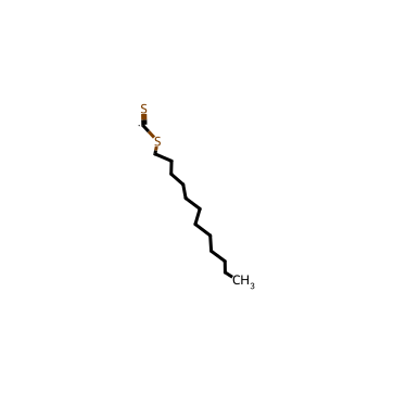 CCCCCCCCCCCCS[C]=S